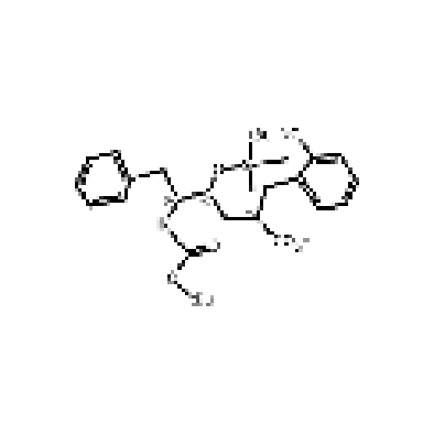 CC(C)(C)OC(=O)N[C@@H](Cc1ccccc1)[C@H](C[C@@H](Cc1ccccc1C#N)C(=O)O)O[Si](C)(C)C(C)(C)C